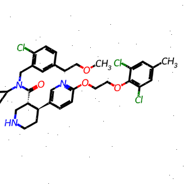 COCCc1ccc(Cl)c(CN(C(=O)[C@H]2CNCC[C@@H]2c2ccc(OCCOc3c(Cl)cc(C)cc3Cl)nc2)C2CC2)c1